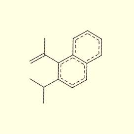 C=C(C)c1c(C(C)C)ccc2ccccc12